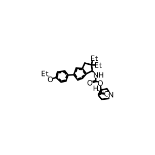 CCOc1ccc(-c2ccc3c(c2)CC(CC)(CC)C3NC(=O)O[C@H]2CN3CCC2CC3)cc1